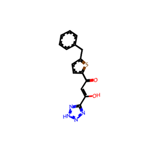 O=C(C=C(O)c1nn[nH]n1)c1ccc(Cc2ccccc2)s1